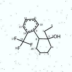 CCC1(O)CCCCC1c1ccccc1C(F)(F)F